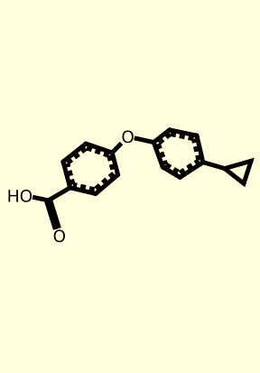 O=C(O)c1ccc(Oc2ccc(C3CC3)cc2)cc1